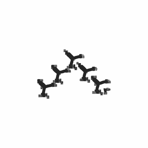 NC(=S)[S-].NC(=S)[S-].NC(=S)[S-].NC(=S)[S-].NC(=S)[S-].[V+5]